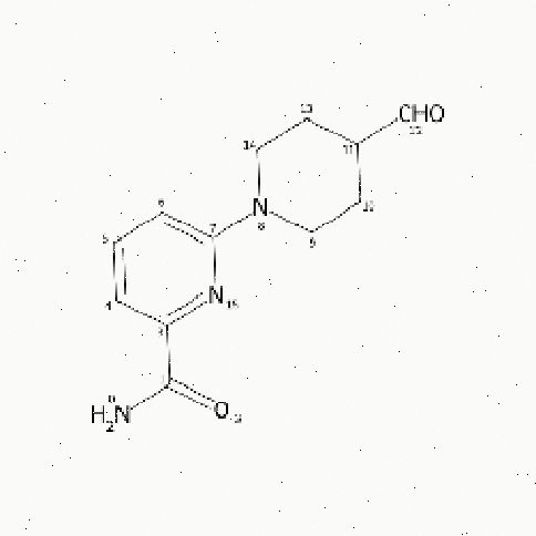 NC(=O)c1cccc(N2CCC(C=O)CC2)n1